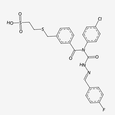 O=C(NN=Cc1ccc(F)cc1)N(C(=O)c1cccc(CSCCS(=O)(=O)O)c1)c1ccc(Cl)cc1